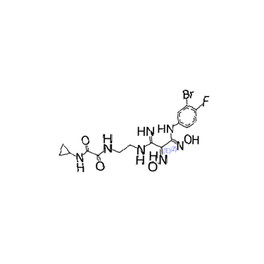 N=C(NCCNC(=O)C(=O)NC1CC1)C(=N\O)/C(=N/O)Nc1ccc(F)c(Br)c1